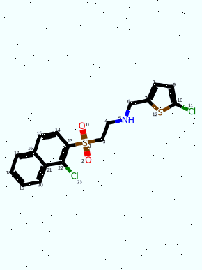 O=S(=O)(CCNCc1ccc(Cl)s1)c1ccc2ccccc2c1Cl